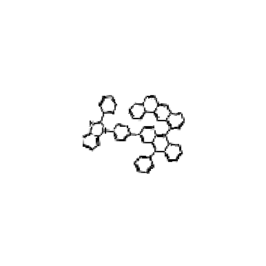 c1ccc(-c2c3ccccc3c(-c3cccc4cc5ccc6ccccc6c5cc34)c3ccc(-c4ccc(-n5c(-c6ccccc6)nc6ccccc65)cc4)cc23)cc1